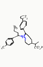 CC(C)CCC(c1ccc(C(F)(F)F)cc1)N1CCC(C(C)C(=O)O)CC1c1ccc(C(F)(F)F)cc1